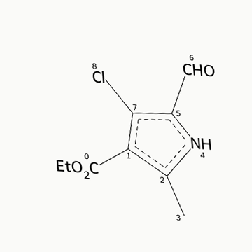 CCOC(=O)c1c(C)[nH]c(C=O)c1Cl